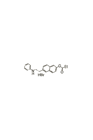 Br.CCC(=O)Oc1ccc2cc(CCNc3ccccc3)ccc2c1